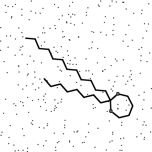 CCCCCCCCCCCCC1(CCCCCCCC)OCCCCO1